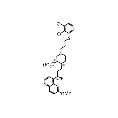 COc1ccc2nccc([C@H](F)CC[C@@H]3CCN(CCCSc4cccc(Cl)c4Cl)C[C@@H]3C(=O)O)c2c1